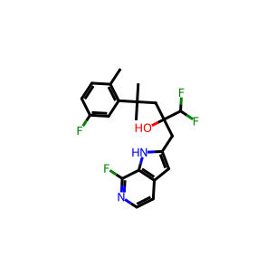 Cc1ccc(F)cc1C(C)(C)CC(O)(Cc1cc2ccnc(F)c2[nH]1)C(F)F